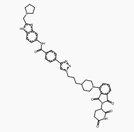 O=C1CCC(N2C(=O)c3cccc(N4CCC(CCCn5cc(-c6ccc(C(=O)Nc7ccc8[nH]c(CN9CCCC9)nc8c7)cc6)nn5)CC4)c3C2=O)C(=O)N1